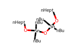 CCCCCCC[O][Sn]([CH2]CCC)([CH2]CCC)[O][Sn]([CH2]CCC)([CH2]CCC)[O]CCCCCCC